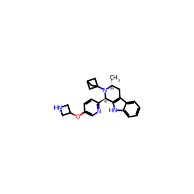 C[C@@H]1Cc2c([nH]c3ccccc23)[C@@H](c2ccc(OC3CNC3)cn2)N1C12CC(C1)C2